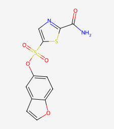 NC(=O)c1ncc(S(=O)(=O)Oc2ccc3occc3c2)s1